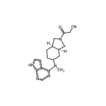 CN(c1ncnc2[nH]ccc12)C1CC[C@H]2CN(C(=O)CC#N)C[C@H]2C1